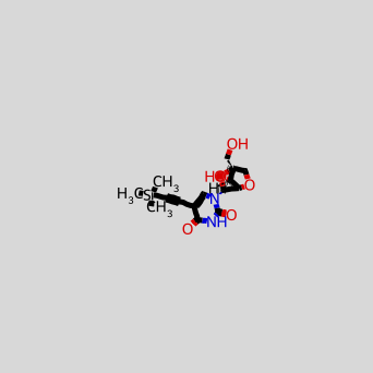 C[Si](C)(C)C#Cc1cn([C@@H]2O[C@@]3(CO)COC2[C@H]3O)c(=O)[nH]c1=O